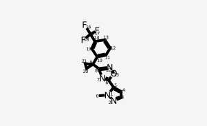 Cn1nccc1-c1nc(C2(c3cccc(C(F)(F)F)c3)CC2)no1